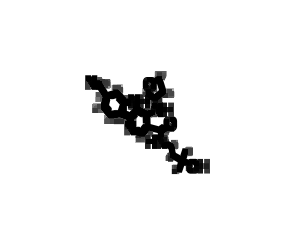 CC(C)(O)CCNC(=O)c1cnc2c([nH]c3cc(C#N)ccc32)c1N[C@H]1CCOC1